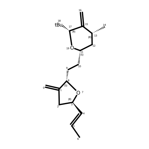 C=C1C[C@H](C=CC)O[C@H]1CC[C@H]1C[C@@H](C)C(=C)[C@@H](C(C)(C)C)O1